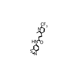 Cc1nc(C(F)(F)F)ccc1C=CC(=O)Nc1ccc2ncsc2c1